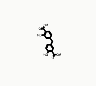 O=C(O)c1ccc(Cc2ccc(O)c(C(=O)O)c2)cc1O